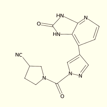 N#CC1CCN(C(=O)n2cc(-c3ccnc4[nH]c(=O)[nH]c34)cn2)C1